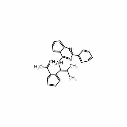 C=C(C)c1ccccc1C(Nc1nc(-c2ccccc2)nc2ccccc12)=C(C)C